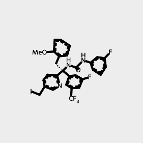 COc1ccccc1C[C@](NC(=O)Nc1cccc(F)c1)(c1cc(F)cc(C(F)(F)F)c1)c1ccc(CI)cn1